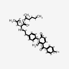 CCCCC(C)OC(=O)[C@H](CC(C)C)NCCc1ccc(-n2c(N)c(C(=O)c3ccc(F)cc3)ccc2=O)cc1